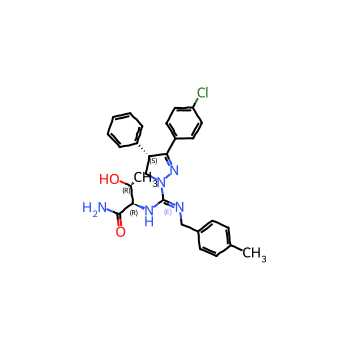 Cc1ccc(C/N=C(\N[C@@H](C(N)=O)[C@@H](C)O)N2C[C@H](c3ccccc3)C(c3ccc(Cl)cc3)=N2)cc1